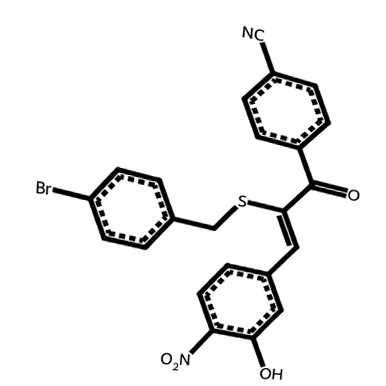 N#Cc1ccc(C(=O)C(=Cc2ccc([N+](=O)[O-])c(O)c2)SCc2ccc(Br)cc2)cc1